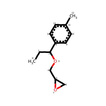 CCC(OCC1CO1)c1ccc(C)cc1